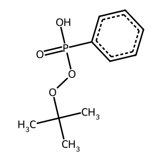 CC(C)(C)OOP(=O)(O)c1ccccc1